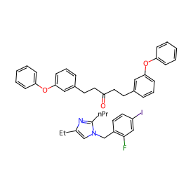 CCCc1nc(CC)cn1Cc1ccc(I)cc1F.O=C(CCc1cccc(Oc2ccccc2)c1)CCc1cccc(Oc2ccccc2)c1